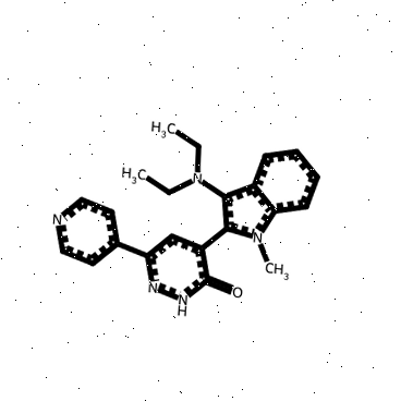 CCN(CC)c1c(-c2cc(-c3ccncc3)n[nH]c2=O)n(C)c2ccccc12